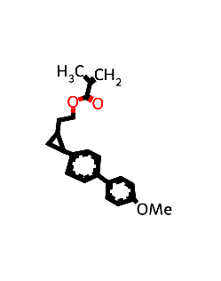 C=C(C)C(=O)OCCC1CC1c1ccc(-c2ccc(OC)cc2)cc1